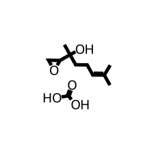 CC(C)=CCCC(C)(O)C1CO1.O=C(O)O